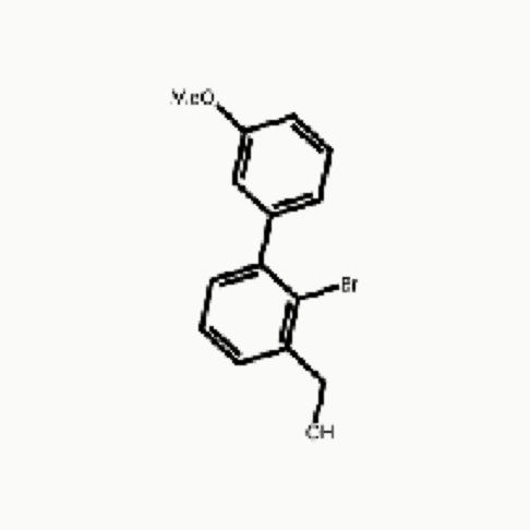 COc1cccc(-c2cccc(CO)c2Br)c1